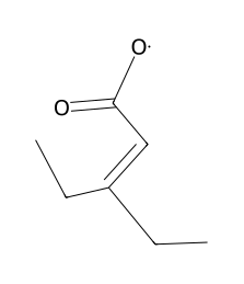 CCC(=CC([O])=O)CC